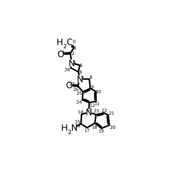 C=CC(=O)N1CC(N2Cc3ccc(N4CC(N)Cc5ccccc54)cc3C2=O)C1